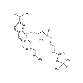 CNCc1ccc2cc3ccc(N(C)C)cc3[n+](CCC[N+](C)(C)CCCNC(=O)OC(C)(C)C)c2c1